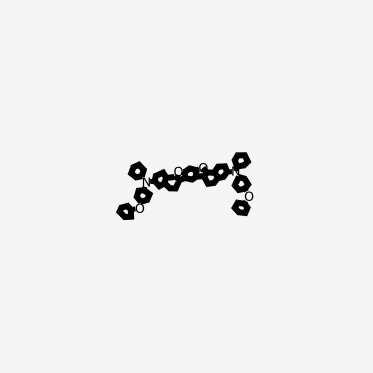 c1ccc(Oc2ccc(N(c3ccccc3)c3ccc4c(ccc5c6cc7c(cc6oc45)oc4c5ccc(N(c6ccccc6)c6ccc(Oc8ccccc8)cc6)cc5ccc74)c3)cc2)cc1